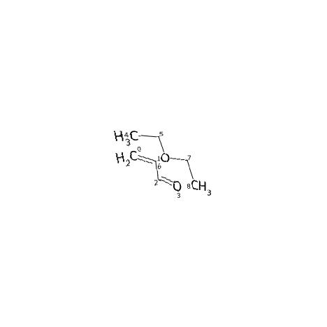 C=CC=O.CCOCC